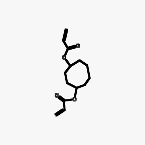 C=CC(=O)OC1CCCCC(OC(=O)C=C)CC1